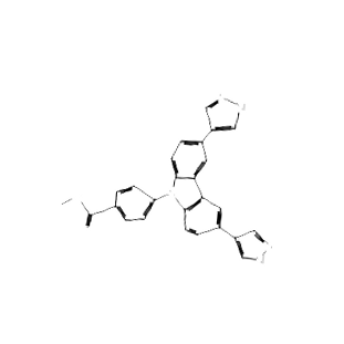 COC(=O)c1ccc(-n2c3ccc(-c4cn[nH]c4)cc3c3cc(-c4cn[nH]c4)ccc32)cc1